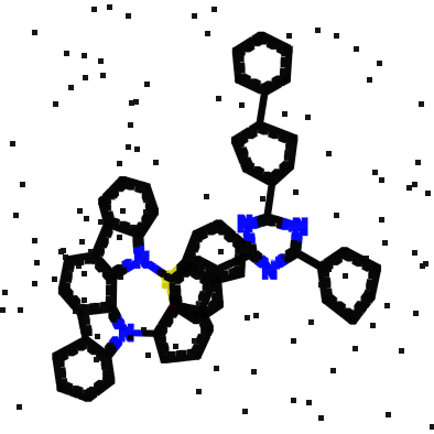 c1ccc(-c2ccc(-c3nc(-c4ccccc4)nc(-c4cccc(-n5c6ccccc6c6ccc7c8ccccc8n(-c8cccc9c8sc8ccccc89)c7c65)c4)n3)cc2)cc1